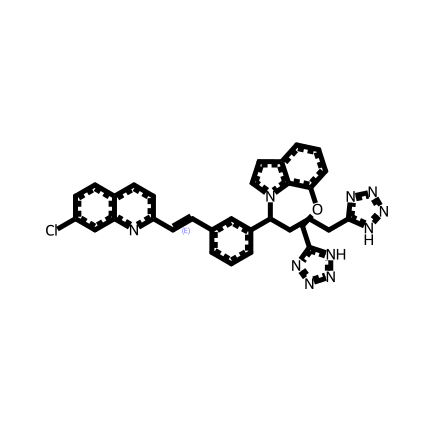 Clc1ccc2ccc(/C=C/c3cccc(C(CCCc4nnn[nH]4)n4ccc5cccc(OCc6nnn[nH]6)c54)c3)nc2c1